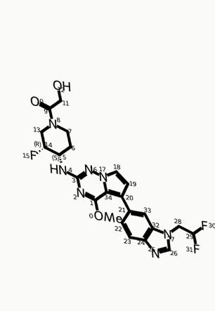 COc1nc(N[C@H]2CCN(C(=O)CO)C[C@H]2F)nn2ccc(-c3ccc4ncn(CC(F)F)c4c3)c12